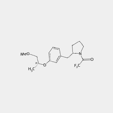 COC[C@@H](C)Oc1cccc(CC2CCCN2C(=O)C(F)(F)F)c1